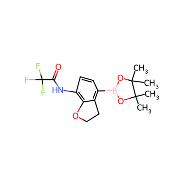 CC1(C)OB(c2ccc(NC(=O)C(F)(F)F)c3c2CCO3)OC1(C)C